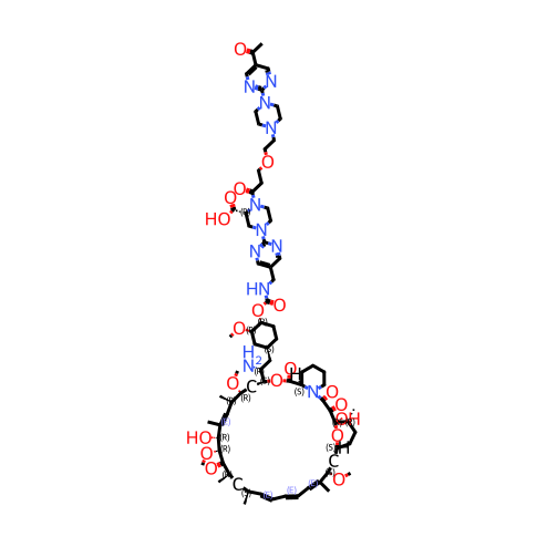 CO[C@H]1C[C@@H]2CC[C@@H](C)[C@@](O)(O2)C(=O)C(=O)N2CCCC[C@H]2C(=O)O[C@H]([C@H](N)C[C@@H]2CC[C@@H](OC(=O)NCc3cnc(N4CCN(C(=O)CCOCCN5CCN(c6ncc(C(C)=O)cn6)CC5)[C@@H](C(=O)O)C4)nc3)[C@H](OC)C2)C[C@@H](OC)[C@H](C)/C=C(\C)[C@@H](O)[C@@H](OC)C(=O)[C@H](C)C[C@H](C)/C=C/C=C/C=C/1C